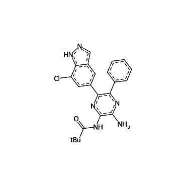 CC(C)(C)C(=O)Nc1nc(-c2cc(Cl)c3[nH]ncc3c2)c(-c2ccccc2)nc1N